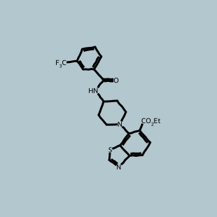 CCOC(=O)c1ccc2ncsc2c1N1CCC(NC(=O)c2cccc(C(F)(F)F)c2)CC1